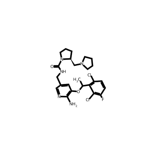 CC(Oc1cc(CNC(=O)N2CCC[C@H]2CN2CCCC2)cnc1N)c1c(Cl)ccc(F)c1Cl